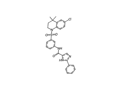 CC1(C)CCN(S(=O)(=O)c2cccc(NC(=O)c3cnc(-c4ccccc4)[nH]3)c2)c2ccc(Cl)cc21